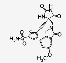 COc1ccc2c(c1)C(=O)N(C[C@@]1(C#Cc3ccc(S(N)(=O)=O)s3)NC(=O)NC1=O)C2